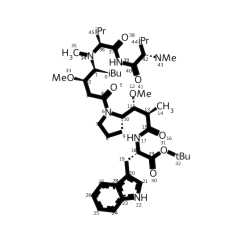 CC[C@H](C)[C@@H]([C@@H](CC(=O)N1CCC[C@H]1[C@H](OC)[C@@H](C)C(=O)N[C@@H](Cc1c[nH]c2ccccc12)C(=O)OC(C)(C)C)OC)N(C)[C@H](C(=O)NC(=O)[C@@H](NC)C(C)C)C(C)C